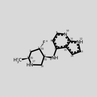 C[C@H]1C[C@H](F)[C@@H](Nc2ccnc3[nH]ccc23)CN1